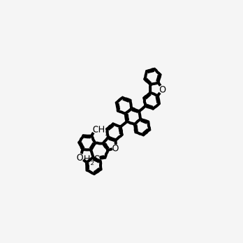 C=Cc1oc2cc(-c3c4ccccc4c(-c4ccc5oc6ccccc6c5c4)c4ccccc34)ccc2c1-c1c(C)ccc2oc3ccccc3c12